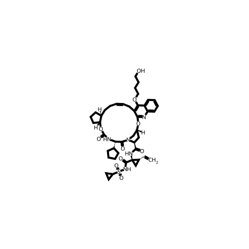 C=C[C@@H]1C[C@]1(NC(=O)[C@@H]1C[C@@H]2CN1C(=O)[C@H](C1CCCC1)NC(=O)O[C@@H]1CCC[C@H]1CCC=CCc1c(nc3ccccc3c1OCCCCO)O2)C(=O)NS(=O)(=O)C1CC1